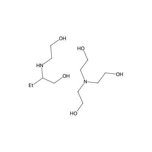 CCC(CO)NCCO.OCCN(CCO)CCO